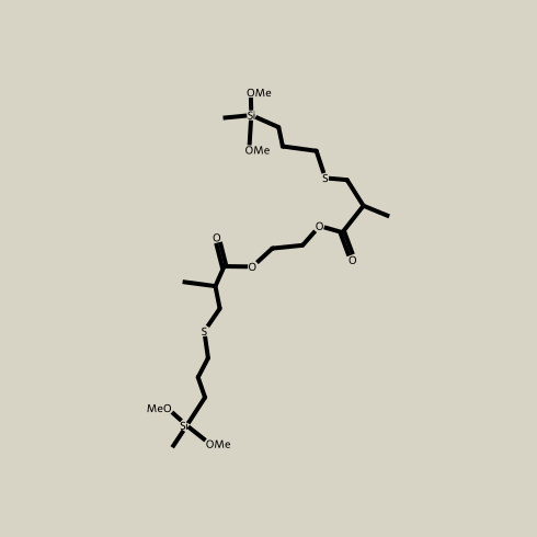 CO[Si](C)(CCCSCC(C)C(=O)OCCOC(=O)C(C)CSCCC[Si](C)(OC)OC)OC